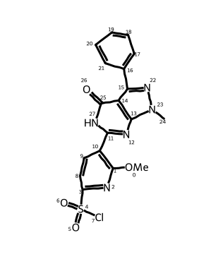 COc1nc(S(=O)(=O)Cl)ccc1-c1nc2c(c(-c3ccccc3)nn2C)c(=O)[nH]1